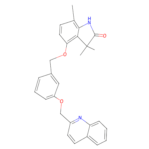 Cc1ccc(OCc2cccc(OCc3ccc4ccccc4n3)c2)c2c1NC(=O)C2(C)C